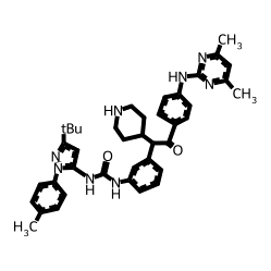 Cc1ccc(-n2nc(C(C)(C)C)cc2NC(=O)Nc2cccc(C(C(=O)c3ccc(Nc4nc(C)cc(C)n4)cc3)C3CCNCC3)c2)cc1